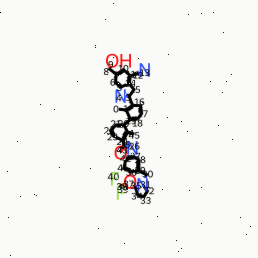 Cc1c(C2=Nc3cc(CO)cc(C#N)c3C2)cccc1-c1cccc(-c2nc3cc(CN4CCCC4)c(OC(F)F)cc3o2)c1C